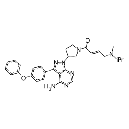 CC(C)N(C)CC=CC(=O)N1CCC(n2nc(-c3ccc(Oc4ccccc4)cc3)c3c(N)ncnc32)C1